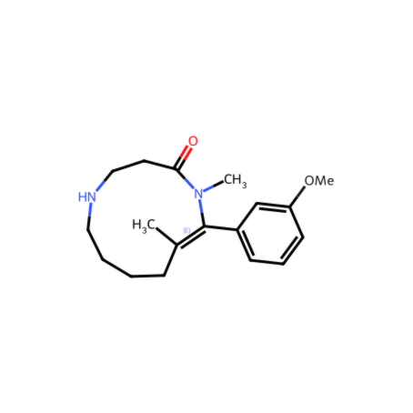 COc1cccc(/C2=C(/C)CCCCNCCC(=O)N2C)c1